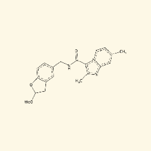 COC1Cc2cc(CNC(=O)c3c(C)nc4cc(C)ccn34)ccc2O1